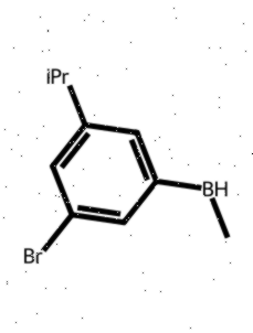 CBc1cc(Br)cc(C(C)C)c1